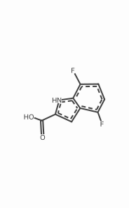 O=C(O)c1cc2c(F)ccc(F)c2[nH]1